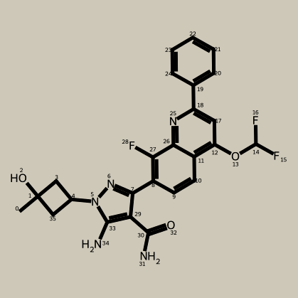 CC1(O)CC(n2nc(-c3ccc4c(OC(F)F)cc(-c5ccccc5)nc4c3F)c(C(N)=O)c2N)C1